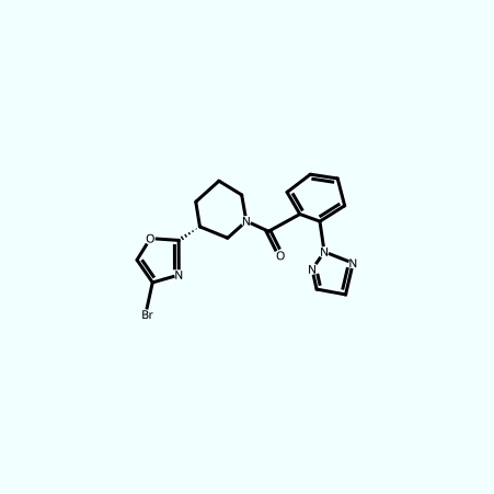 O=C(c1ccccc1-n1nccn1)N1CCC[C@@H](c2nc(Br)co2)C1